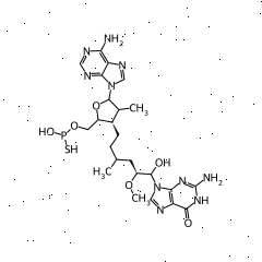 CO[C@@H](CC(C)CC[C@H]1C(COP(O)S)OC(n2cnc3c(N)ncnc32)C1C)C(O)n1cnc2c(=O)[nH]c(N)nc21